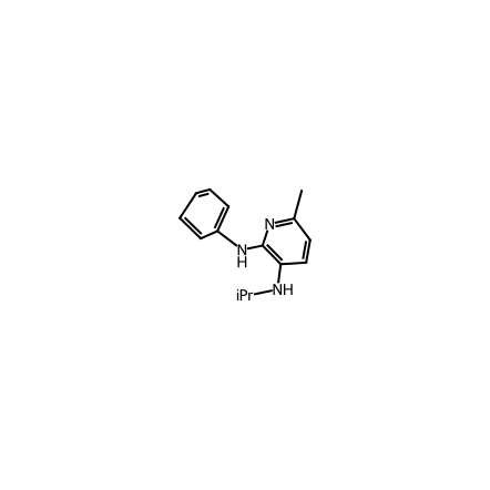 Cc1ccc(NC(C)C)c(Nc2ccccc2)n1